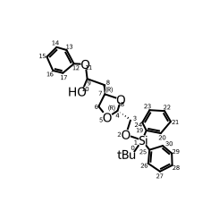 CC(C)(C)[Si](OC[C@@H]1OC[C@@H](CC(O)Oc2ccccc2)O1)(c1ccccc1)c1ccccc1